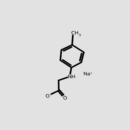 Cc1ccc(NCC(=O)[O-])cc1.[Na+]